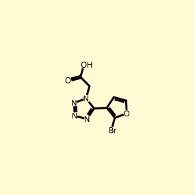 O=C(O)Cn1nnnc1-c1ccoc1Br